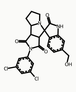 O=C1C2C3CCCN3C3(C(=O)Nc4cc(CO)ccc43)C2C(=O)N1c1cc(Cl)cc(Cl)c1